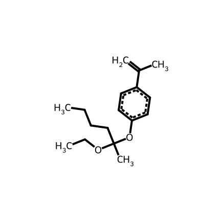 C=C(C)c1ccc(OC(C)(CCCC)OCC)cc1